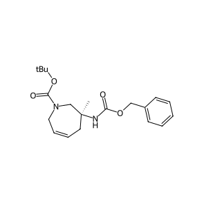 CC(C)(C)OC(=O)N1CC=CC[C@](C)(NC(=O)OCc2ccccc2)C1